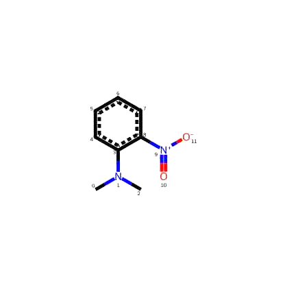 CN(C)c1ccc[c]c1[N+](=O)[O-]